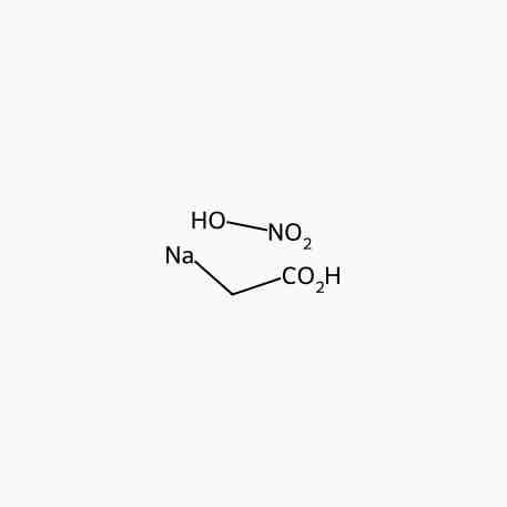 O=C(O)[CH2][Na].O=[N+]([O-])O